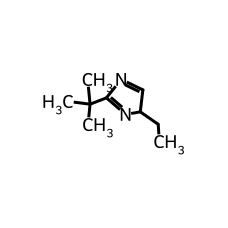 CCC1C=NC(C(C)(C)C)=N1